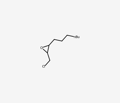 CCCCCCCC1OC1CCl